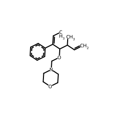 C=CC(C)C(OCN1CCOCC1)/C(=C\C)c1ccccc1